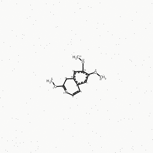 COC1=NC=Cc2cc(OC)c(OC)cc2C1